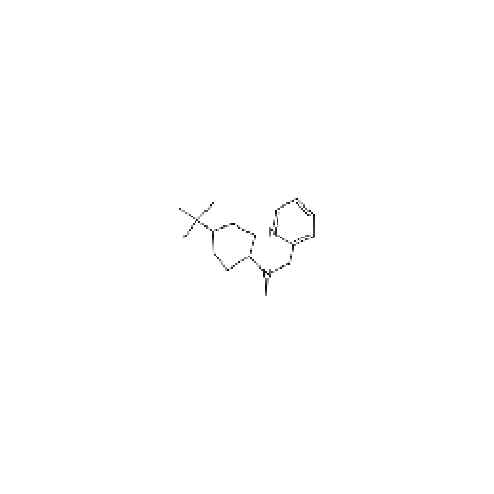 CN(Cc1ccccn1)C1CCC(C(C)(C)C)CC1